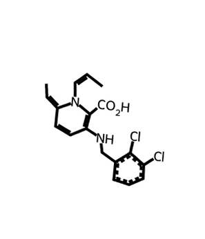 C/C=C\N1C(C(=O)O)=C(NCc2cccc(Cl)c2Cl)C=C/C1=C/C